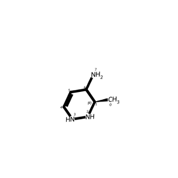 C[C@H]1NNC=CC1N